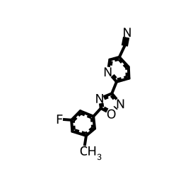 Cc1cc(F)cc(-c2nc(-c3ccc(C#N)cn3)no2)c1